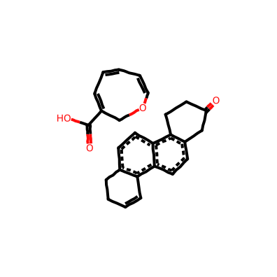 O=C(O)C1=CC=CC=COC1.O=C1CCc2c(ccc3c4c(ccc23)CCC=C4)C1